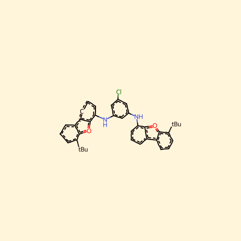 CC(C)(C)c1cccc2c1oc1c(Nc3cc(Cl)cc(Nc4cccc5c4oc4c(C(C)(C)C)cccc45)c3)cccc12